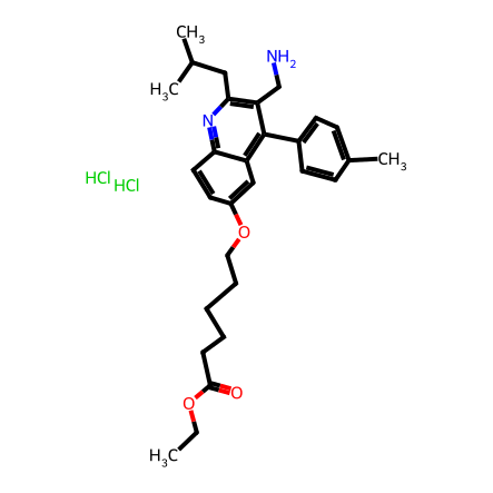 CCOC(=O)CCCCCOc1ccc2nc(CC(C)C)c(CN)c(-c3ccc(C)cc3)c2c1.Cl.Cl